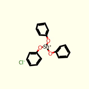 [Cl-].c1ccc([O][Sn+]([O]c2ccccc2)[O]c2ccccc2)cc1